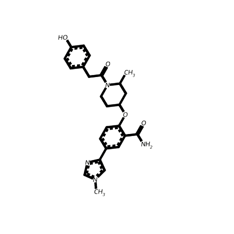 CC1CC(Oc2ccc(-c3cn(C)cn3)cc2C(N)=O)CCN1C(=O)Cc1ccc(O)cc1